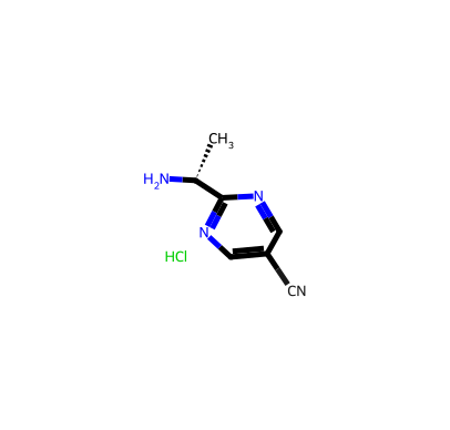 C[C@@H](N)c1ncc(C#N)cn1.Cl